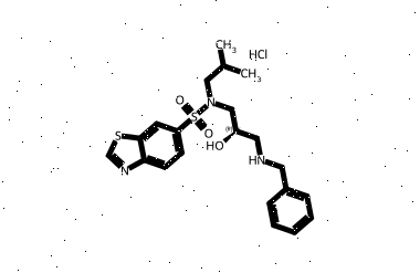 CC(C)CN(C[C@H](O)CNCc1ccccc1)S(=O)(=O)c1ccc2ncsc2c1.Cl